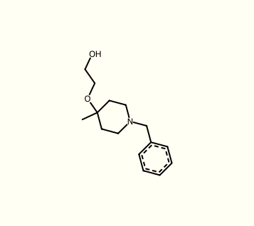 CC1(OCCO)CCN(Cc2ccccc2)CC1